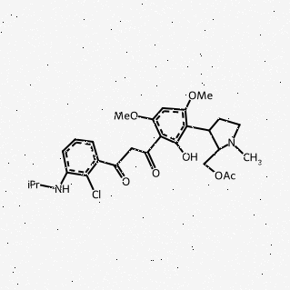 COc1cc(OC)c(C2CCN(C)C2COC(C)=O)c(O)c1C(=O)CC(=O)c1cccc(NC(C)C)c1Cl